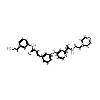 CCc1cccc(NC(=O)C=Cc2cccc(Oc3ccnc(C(=O)NCCN4CCOCC4)c3)c2)c1